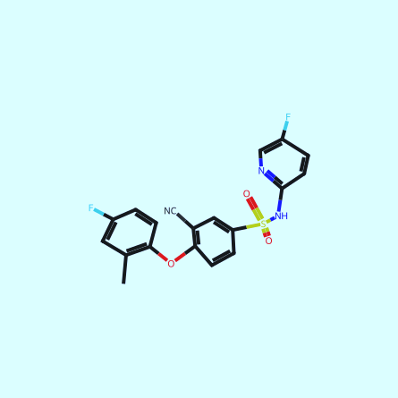 Cc1cc(F)ccc1Oc1ccc(S(=O)(=O)Nc2ccc(F)cn2)cc1C#N